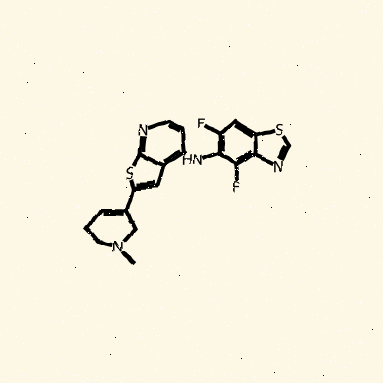 CN1CCC=C(c2cc3c(Nc4c(F)cc5scnc5c4F)ccnc3s2)C1